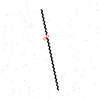 CCCCCCCCCCCCCCCCCCCCCCCCCCCCCC(=O)OCCCCCCCCCCCCCCC